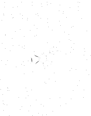 CN1CCC(C2Cc3ccccc3C(O)C2O)C1